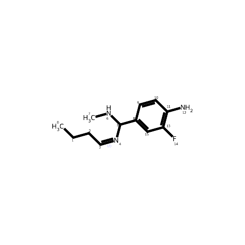 CCC/C=N\C(NC)c1ccc(N)c(F)c1